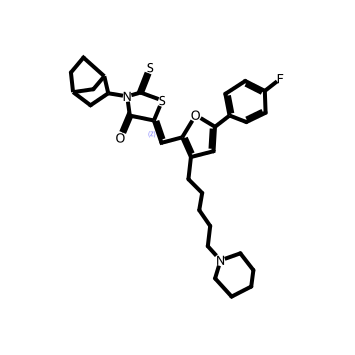 O=C1/C(=C/c2oc(-c3ccc(F)cc3)cc2CCCCCN2CCCCC2)SC(=S)N1C1CC2CCC1C2